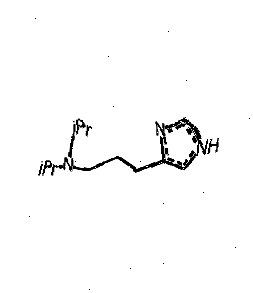 CC(C)N(CCCc1c[nH]cn1)C(C)C